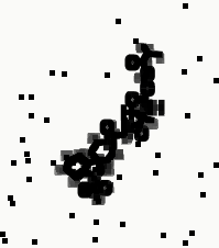 CC(C)C(=O)OCOC(=O)NC(C)(C)C(=O)NCC(=O)N1CCC2(CC1)CN(S(C)(=O)=O)c1ccccc12